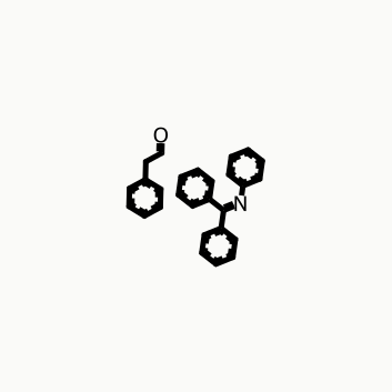 O=CCc1ccccc1.c1ccc(N=C(c2ccccc2)c2ccccc2)cc1